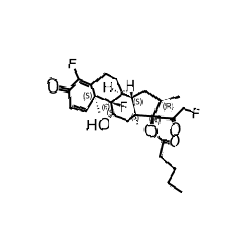 CCCCC(=O)O[C@]1(C(=O)CF)[C@H](C)C[C@H]2[C@@H]3CCC4=C(F)C(=O)C=C[C@]4(C)[C@@]3(F)[C@@H](O)C[C@@]21C